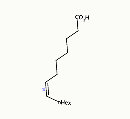 CCCCCC/C=C\CCCCCC(=O)O